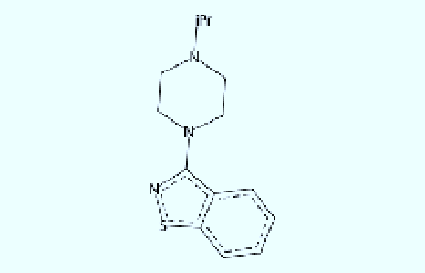 CC(C)N1CCN(c2nsc3ccccc23)CC1